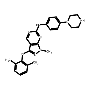 Cc1cccc(C)c1Nc1nn(C)c2nc(Nc3ccc(N4CCNCC4)cc3)ncc12